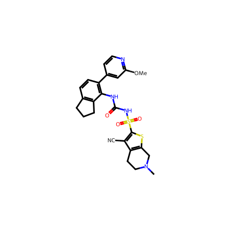 COc1cc(-c2ccc3c(c2NC(=O)NS(=O)(=O)c2sc4c(c2C#N)CCN(C)C4)CCC3)ccn1